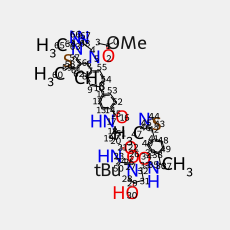 COC(=O)C[C@@H]1N=C(c2ccc(-c3ccc(C(=O)N[C@H]4C[C@@H](C(=O)NC(C(=O)N5C[C@H](O)C[C@H]5C(=O)N[C@@H](C)c5ccc(-c6scnc6C)cc5)C(C)(C)C)C4)cc3)cc2)c2c(sc(C)c2C)-n2c(C)nnc21